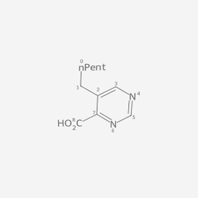 CCCCCCc1cncnc1C(=O)O